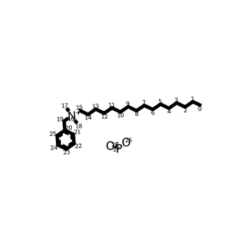 CCCCCCCCCCCCCCCC[N+](C)(C)Cc1ccccc1.O=P[O-]